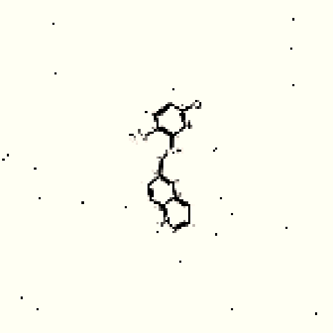 O=[N+]([O-])c1ccc(Cl)nc1NCc1ccc2ncccc2c1